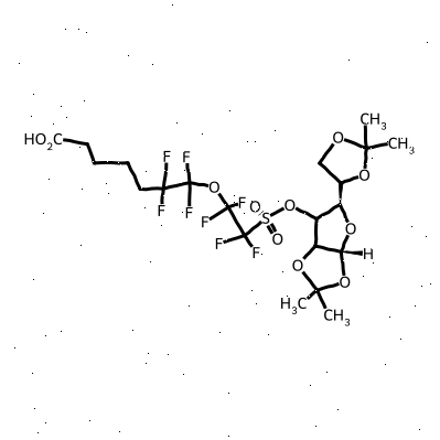 CC1(C)OCC([C@H]2O[C@@H]3OC(C)(C)OC3C2OS(=O)(=O)C(F)(F)C(F)(F)OC(F)(F)C(F)(F)CCCCC(=O)O)O1